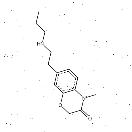 CCCNCCc1ccc2c(c1)OCC(=O)N2C